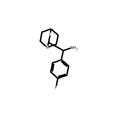 NC(c1ccc(F)cc1)C1CC2CCN1CC2